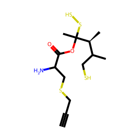 C#CCSCC(N)C(=O)OC(C)(SS)[C@@H](C)C(C)CS